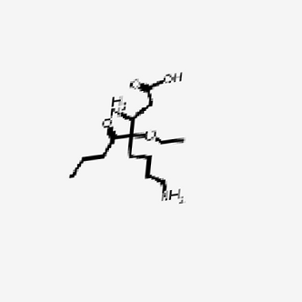 CCCC(=O)C(CCCCN)(OCC)C(N)CC(=O)O